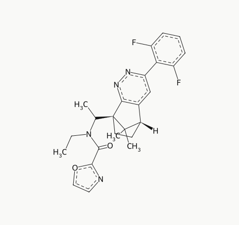 CCN(C(=O)c1ncco1)C(C)[C@@]12CC[C@@H](c3cc(-c4c(F)cccc4F)nnc31)C2(C)C